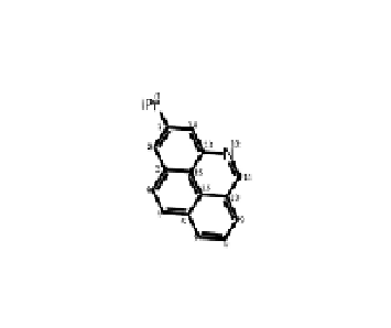 CC(C)c1cc2ccc3cccc4cnc(c1)c2c34